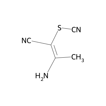 CC(N)=C(C#N)SC#N